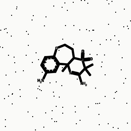 CC12N=C(N)C(C)(C)S(=O)(=O)C1CCOc1ccc(N)cc12